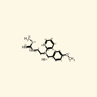 COc1ccc(CN(CCNC(=N)SC)c2ccccn2)cc1.I